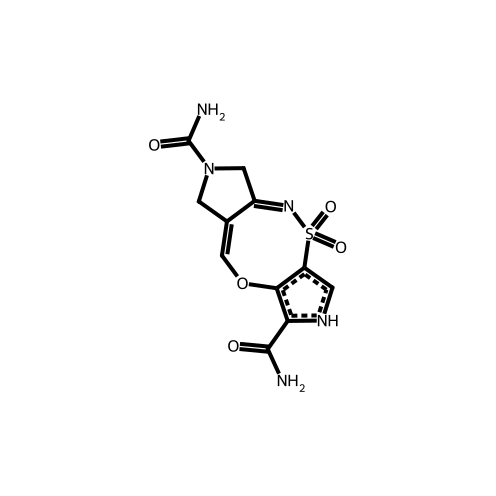 NC(=O)c1[nH]cc2c1OC=C1CN(C(N)=O)CC1=NS2(=O)=O